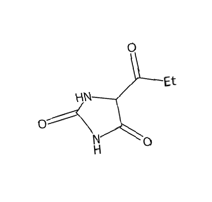 CCC(=O)C1NC(=O)NC1=O